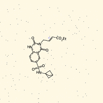 CCOC(=O)/C=C/Cn1c(=O)[nH]c2ccc(S(=O)(=O)NC34CC(C3)C4)cc2c1=O